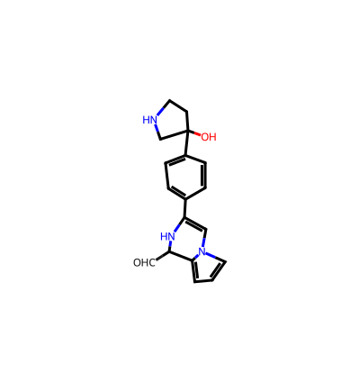 O=CC1NC(c2ccc(C3(O)CCNC3)cc2)=Cn2cccc21